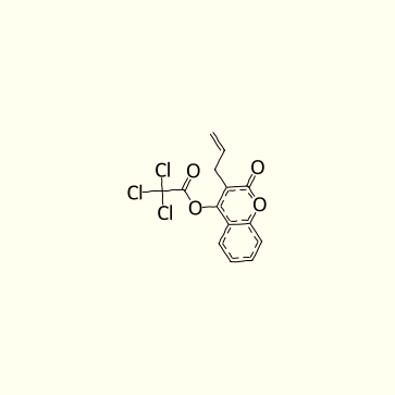 C=CCc1c(OC(=O)C(Cl)(Cl)Cl)c2ccccc2oc1=O